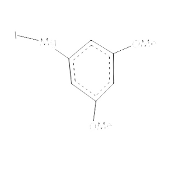 COc1cc(OC)c[c]([Mg][I])c1